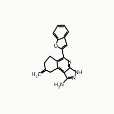 C=C1CCc2c(-c3cc4ccccc4o3)nc3[nH]nc(N)c3c2C1